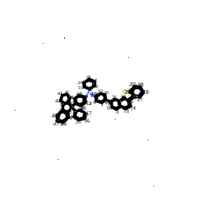 c1ccc(N(c2ccc(-c3ccc4ccc5c6ccccc6sc5c4c3)cc2)c2ccc(C3(c4ccccc4)c4ccccc4-c4ccccc43)cc2)cc1